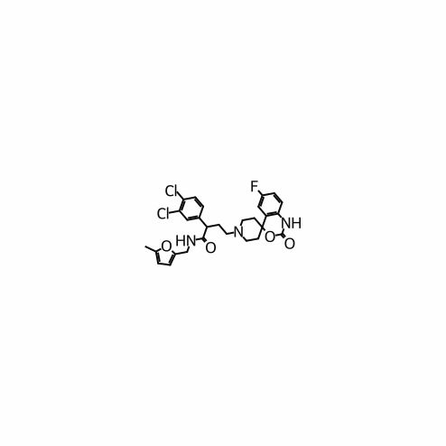 Cc1ccc(CNC(=O)C(CCN2CCC3(CC2)OC(=O)Nc2ccc(F)cc23)c2ccc(Cl)c(Cl)c2)o1